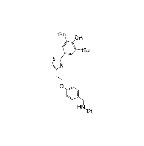 CCNCc1ccc(OCCc2csc(-c3cc(C(C)(C)C)c(O)c(C(C)(C)C)c3)n2)cc1